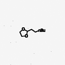 CCCCCCC1OCCO1